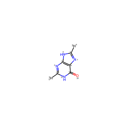 [2H]c1nc2[nH]c([2H])nc2c(=O)[nH]1